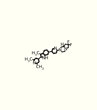 Cc1cc(-c2[nH]c3cc(-c4ccc(N5CCN6CC(F)(F)C[C@H]6C5)nc4)ccc3c2C)cc(C)n1